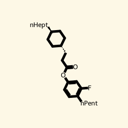 CCCCCCC[C@H]1CC[C@H](CCC(=O)Oc2ccc(CCCCC)c(F)c2)CC1